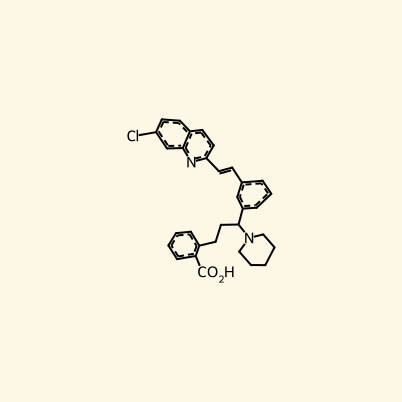 O=C(O)c1ccccc1CCC(c1cccc(/C=C/c2ccc3ccc(Cl)cc3n2)c1)N1CCCCC1